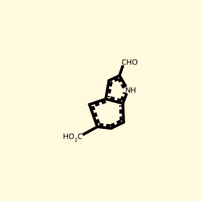 O=Cc1cc2cc(C(=O)O)ccc2[nH]1